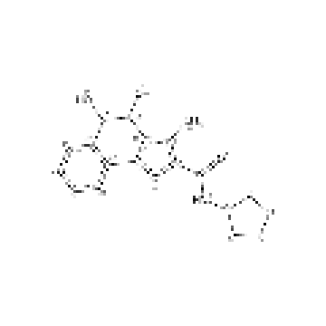 Cc1c(C(=O)NC2CCCC2)oc2c1C(O)C(O)c1ccccc1-2